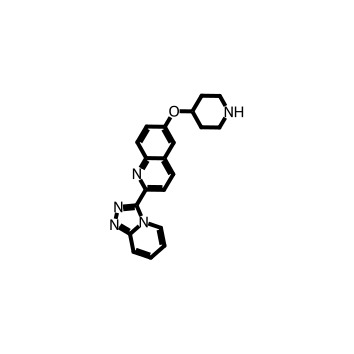 c1ccn2c(-c3ccc4cc(OC5CCNCC5)ccc4n3)nnc2c1